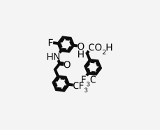 O=C(Cc1cccc(C(F)(F)F)c1)Nc1cc(O)ccc1F.O=C(O)Cc1cccc(C(F)(F)F)c1